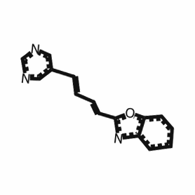 C(/C=C/c1nc2ccccc2o1)=C\c1cncnc1